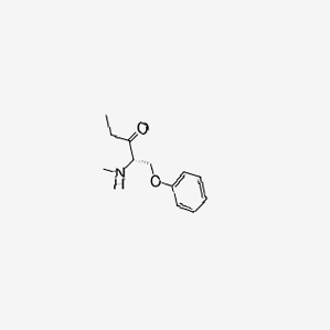 CCC(=O)[C@H](COc1ccccc1)NC